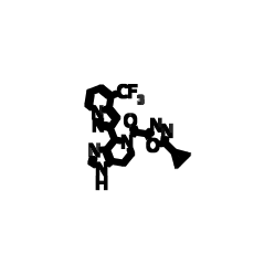 O=C(c1nnc(C2CC2)o1)N1CCc2[nH]cnc2C1c1cc2c(C(F)(F)F)cccn2n1